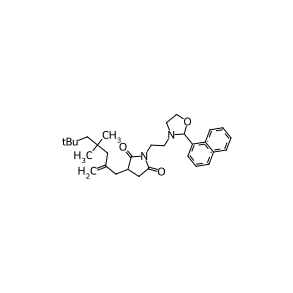 C=C(CC1CC(=O)N(CCN2CCOC2c2cccc3ccccc23)C1=O)CC(C)(C)CC(C)(C)C